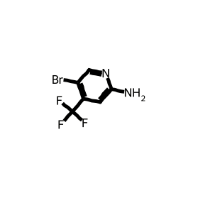 Nc1cc(C(F)(F)F)c(Br)cn1